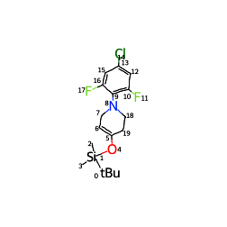 CC(C)(C)[Si](C)(C)OC1=CCN(c2c(F)cc(Cl)cc2F)CC1